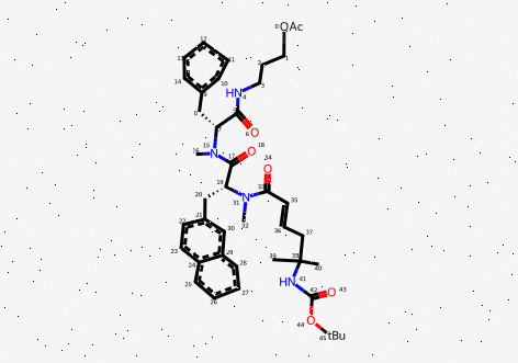 CC(=O)OCCCNC(=O)[C@@H](Cc1ccccc1)N(C)C(=O)[C@@H](Cc1ccc2ccccc2c1)N(C)C(=O)/C=C/CC(C)(C)NC(=O)OC(C)(C)C